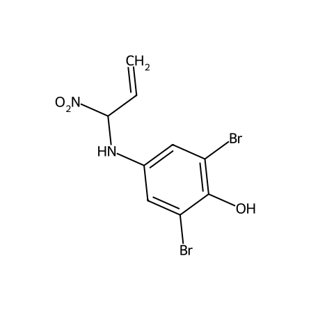 C=CC(Nc1cc(Br)c(O)c(Br)c1)[N+](=O)[O-]